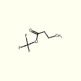 CCCC(=O)OC(F)(F)F